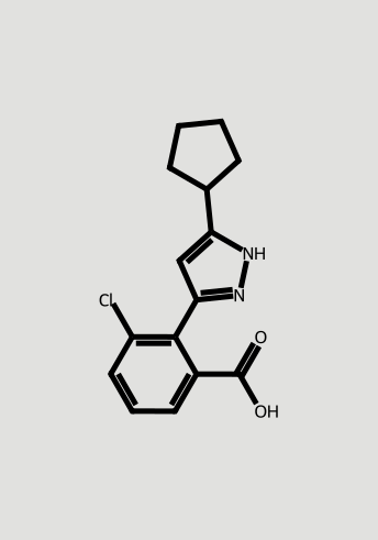 O=C(O)c1cccc(Cl)c1-c1cc(C2CCCC2)[nH]n1